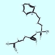 O=C(O)CCCC(=O)OP(=O)(O)CCCc1ccccc1